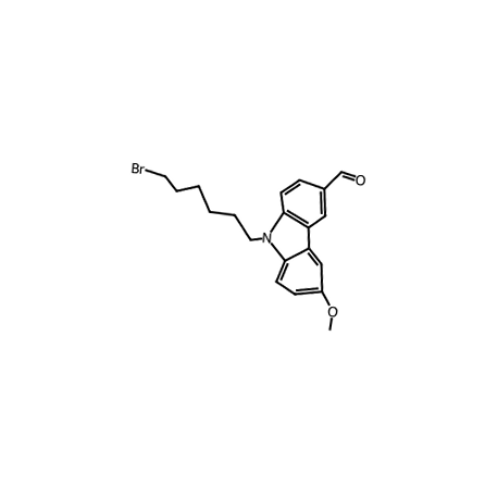 COc1ccc2c(c1)c1cc(C=O)ccc1n2CCCCCCBr